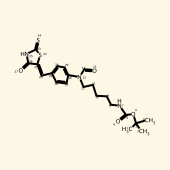 CC(C)(C)OC(=O)NCCCCCN(C=O)c1ccc(/C=C2\SC(=S)NC2=O)cc1